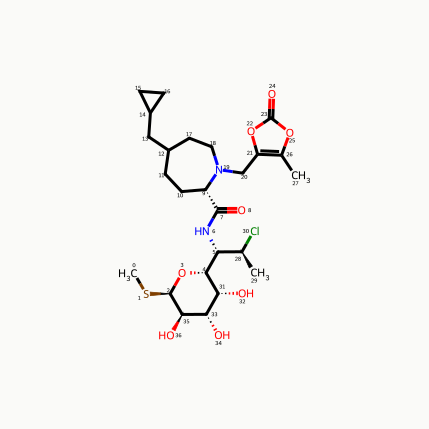 CS[C@H]1O[C@H]([C@H](NC(=O)[C@@H]2CCC(CC3CC3)CCN2Cc2oc(=O)oc2C)[C@H](C)Cl)[C@H](O)[C@H](O)[C@H]1O